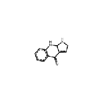 O=C1C2=CCNC2Nc2ccccc21